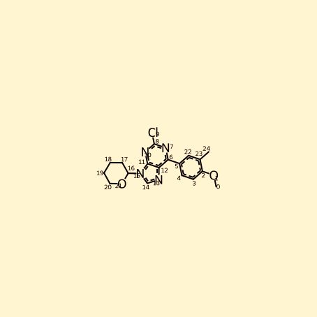 COc1ccc(-c2nc(Cl)nc3c2ncn3C2CCCCO2)cc1C